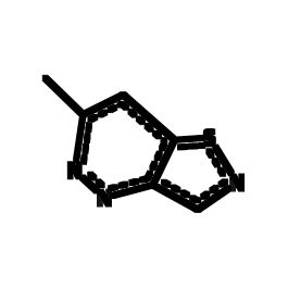 Cc1cc2sncc2nn1